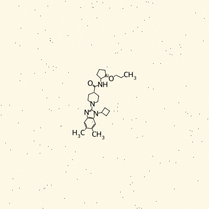 CCCO[C@H]1CCCC1NC(=O)C1CCN(c2nc3cc(C)c(C)cc3n2C2CCC2)CC1